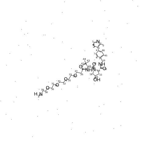 Cc1ncsc1-c1ccc(CNC(=O)[C@@H]2C[C@@H](O)CN2C(=O)[C@@H](NC(=O)CCOCCOCCOCCOCCN)C(C)(C)C)cc1